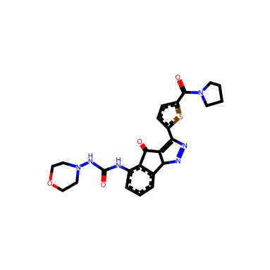 O=C(Nc1cccc2c1C(=O)C1=C(c3ccc(C(=O)N4CCCC4)s3)N=NC12)NN1CCOCC1